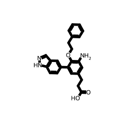 Nc1cc(CCC(=O)O)cc(-c2ccc3[nH]ncc3c2)c1OCCc1ccccc1